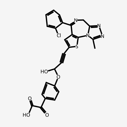 Cc1nnc2n1-c1sc(C#CC(O)Oc3ccc(C(=O)C(=O)O)cc3)cc1C(c1ccccc1Cl)=NC2